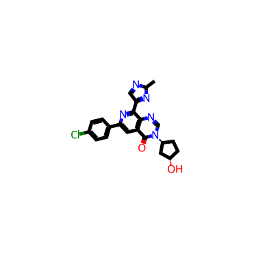 CC1N=CC(c2nc(-c3ccc(Cl)cc3)cc3c(=O)n([C@@H]4CC[C@H](O)C4)cnc23)=N1